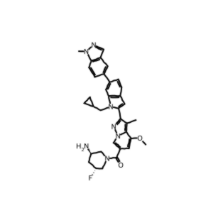 COc1cc(C(=O)N2C[C@H](N)C[C@@H](F)C2)cn2nc(-c3cc4ccc(-c5ccc6c(cnn6C)c5)cc4n3CC3CC3)c(C)c12